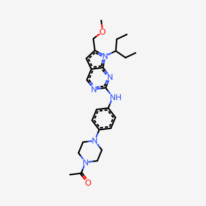 CCC(CC)n1c(COC)cc2cnc(Nc3ccc(N4CCN(C(C)=O)CC4)cc3)nc21